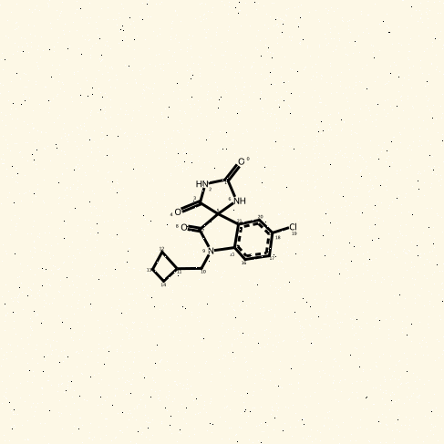 O=C1NC(=O)C2(N1)C(=O)N(CC1CCC1)c1ccc(Cl)cc12